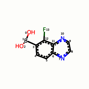 OB(O)c1ccc2nccnc2c1F